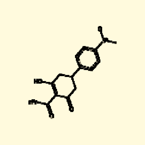 CCCC(=O)C1=C(O)CC(c2ccc([S+](C)[O-])cc2)CC1=O